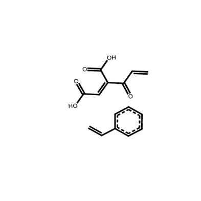 C=CC(=O)/C(=C/C(=O)O)C(=O)O.C=Cc1ccccc1